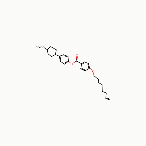 C=CCCCCCCOc1ccc(C(=O)Oc2ccc(C3CCC(CCCCC)CC3)cc2)cc1